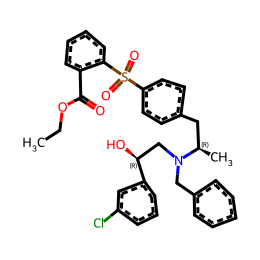 CCOC(=O)c1ccccc1S(=O)(=O)c1ccc(C[C@@H](C)N(Cc2ccccc2)C[C@H](O)c2cccc(Cl)c2)cc1